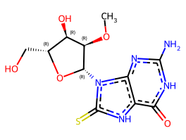 CO[C@@H]1[C@H](O)[C@@H](CO)O[C@H]1n1c(=S)[nH]c2c(=O)[nH]c(N)nc21